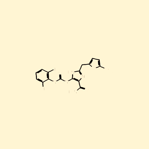 CC(C)c1cccc(C(C)C)c1NC(=O)Nc1[nH]c(Cc2ccc(C(=O)O)o2)nc1C(N)=O